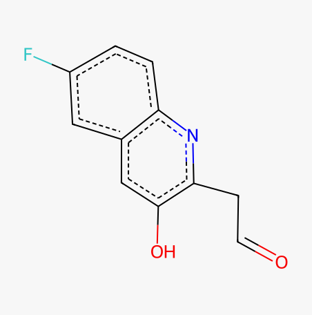 O=CCc1nc2ccc(F)cc2cc1O